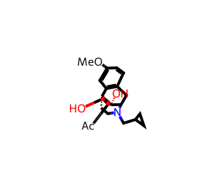 COc1ccc2c(c1)[C@@]13CCN(CC4CC4)C(C2)[C@@]1(O)CC(C(C)=O)=C(O)C3